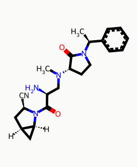 C[C@@H](c1ccccc1)N1CC[C@H](N(C)C[C@H](N)C(=O)N2[C@H](C#N)C[C@@H]3C[C@@H]32)C1=O